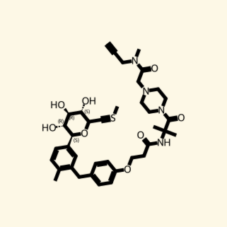 C#CCN(C)C(=O)CN1CCN(C(=O)C(C)(C)NC(=O)CCOc2ccc(Cc3cc([C@@H]4OC(C#SC)[C@@H](O)[C@H](O)[C@H]4O)ccc3C)cc2)CC1